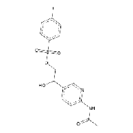 CC(=O)Nc1ccc(C(O)COS(=O)(=O)c2ccc(C)cc2)cn1